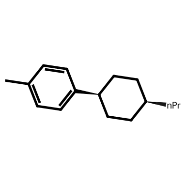 CCC[C@H]1CC[C@@H](c2ccc(C)cc2)CC1